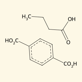 CCCC(=O)O.O=C(O)c1ccc(C(=O)O)cc1